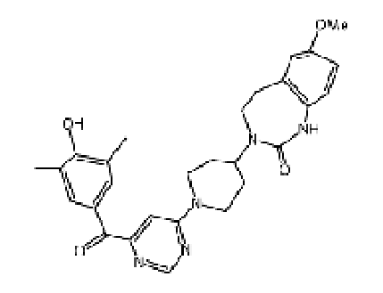 COc1ccc2c(c1)CCN(C1CCN(c3cc(C(=O)c4cc(C)c(O)c(C)c4)ncn3)CC1)C(=O)N2